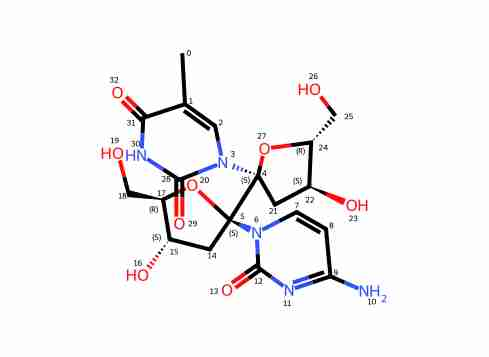 Cc1cn([C@@]2([C@]3(n4ccc(N)nc4=O)C[C@H](O)[C@@H](CO)O3)C[C@H](O)[C@@H](CO)O2)c(=O)[nH]c1=O